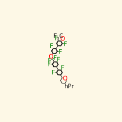 CCCC1CCC(c2cc(F)c(-c3cc(F)c(C(F)(F)Oc4cc(F)c(-c5cc(F)c(OC(F)(F)F)c(F)c5)c(F)c4)c(F)c3)c(F)c2)OC1